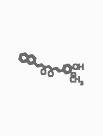 COc1cc(/C=C/C(=O)CC(=O)/C=C/c2ccc3ccccc3c2)ccc1O